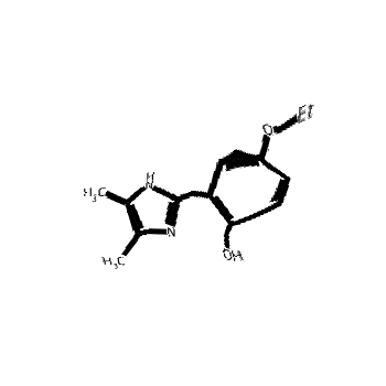 CCOc1ccc(O)c(-c2nc(C)c(C)[nH]2)c1